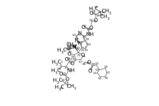 CC(C)[C@H](NC(=O)OC(C)(C)C)C(=O)O[C@H]1C(O[Si](C)(C)C)[C@](C#N)(c2ccc3c(NC(=O)OCOC(=O)C(C)(C)C)ncnn23)O[C@@H]1COC(=O)CC1CCCCC1